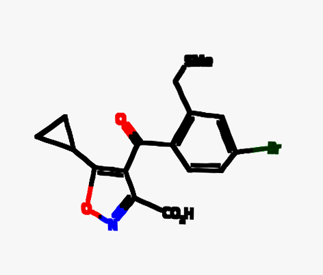 CSCc1cc(Br)ccc1C(=O)c1c(C(=O)O)noc1C1CC1